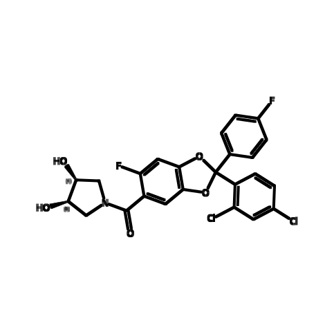 O=C(c1cc2c(cc1F)OC(c1ccc(F)cc1)(c1ccc(Cl)cc1Cl)O2)N1C[C@@H](O)[C@@H](O)C1